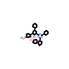 Cc1ccc2c(c1)S(=O)(c1ccccc1)=Nc1c(-c3nc(-c4ccccc4)nc(-c4ccccc4)n3)cc(-c3ccccc3)cc1-2